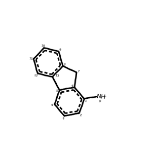 [NH]c1cccc2c1Cc1ccccc1-2